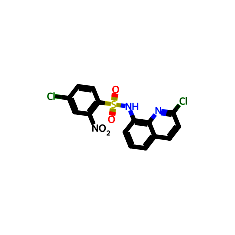 O=[N+]([O-])c1cc(Cl)ccc1S(=O)(=O)Nc1cccc2ccc(Cl)nc12